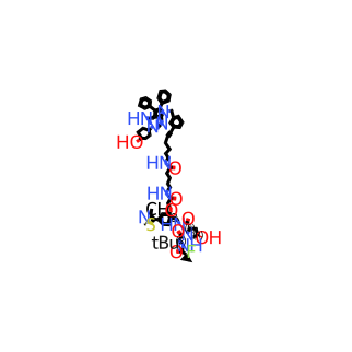 Cc1ncsc1-c1ccc(CNC(=O)[C@@H]2C[C@@H](O)CN2C(=O)[C@@H](NC(=O)C2(F)CC2)C(C)(C)C)c(OCC(=O)NCCCCC(=O)NCCCCC#Cc2cccc(Cn3c(-c4ccccc4)c(-c4ccccc4)c4c(=N)n(C5CCC(O)CC5)cnc43)c2)c1